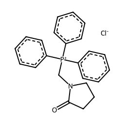 O=C1CCCN1C[P+](c1ccccc1)(c1ccccc1)c1ccccc1.[Cl-]